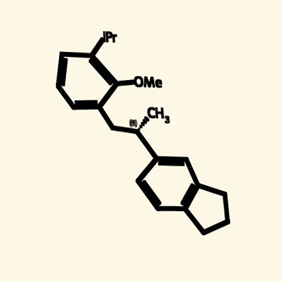 COc1c(C[C@H](C)c2ccc3c(c2)CCC3)cccc1C(C)C